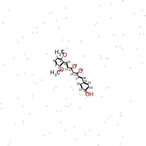 COc1cccc(OC)c1C=CC(=O)CC(=O)C=Cc1ccc(O)cc1